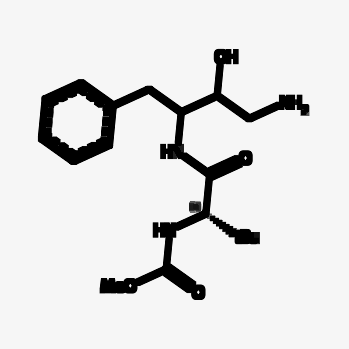 COC(=O)N[C@H](C(=O)NC(Cc1ccccc1)C(O)CN)C(C)(C)C